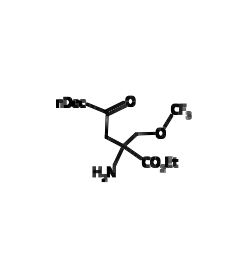 CCCCCCCCCCC(=O)CC(N)(COC(F)(F)F)C(=O)OCC